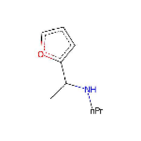 CCCNC(C)c1ccco1